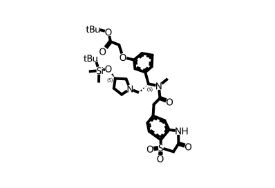 CN(C(=O)Cc1ccc2c(c1)NC(=O)CS2(=O)=O)[C@H](CN1CC[C@H](O[Si](C)(C)C(C)(C)C)C1)c1cccc(OCC(=O)OC(C)(C)C)c1